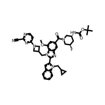 COc1cc(C(=O)N2C[C@H](F)C[C@@H](NC(=O)OC(C)(C)C)C2)cc2nc(-c3cc4ccccc4n3CC3CC3)n(CC3CN(c4ccnc(C#N)n4)C3)c12